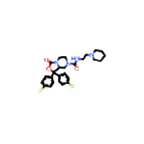 O=C(NCCN1CCCCC1)N1CCN2C(=O)OC(c3ccc(F)cc3)(c3ccc(F)cc3)C2C1